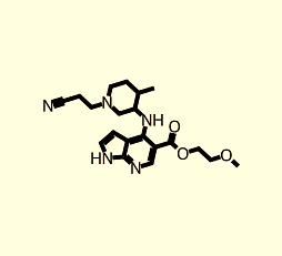 COCCOC(=O)c1cnc2[nH]ccc2c1NC1CN(CCC#N)CCC1C